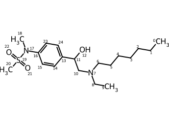 CCCCCCCN(CC)CC(O)c1ccc(N(C)S(C)(=O)=O)cc1